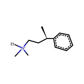 CC[N+](C)(C)CC[C@@H](C)c1ccccc1